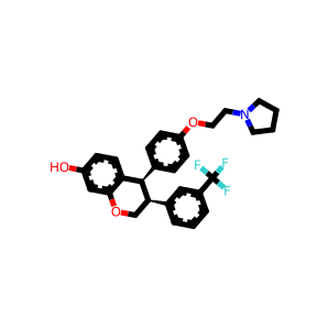 Oc1ccc2c(c1)OC[C@H](c1cccc(C(F)(F)F)c1)[C@@H]2c1ccc(OCCN2CCCC2)cc1